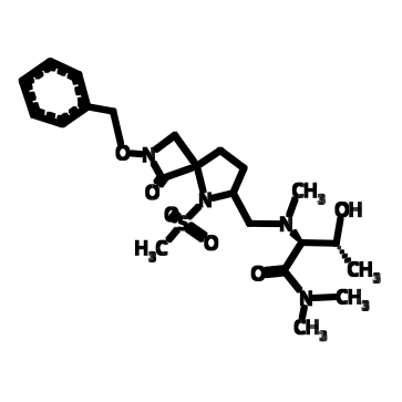 C[C@@H](O)[C@@H](C(=O)N(C)C)N(C)CC1CCC2(CN(OCc3ccccc3)C2=O)N1S(C)(=O)=O